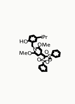 COC1=CC(=C(S(=O)(=O)c2ccccc2)S(=O)(=O)c2ccccc2)C=C(OC)N1Cc1cc(C(C)C)ccc1O